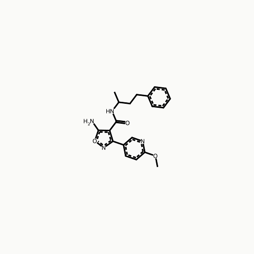 COc1ccc(-c2noc(N)c2C(=O)NC(C)CCc2ccccc2)cn1